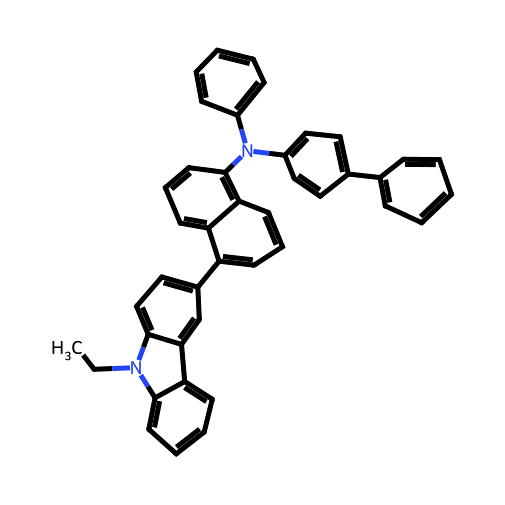 CCn1c2ccccc2c2cc(-c3cccc4c(N(c5ccccc5)c5ccc(-c6ccccc6)cc5)cccc34)ccc21